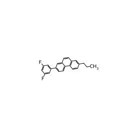 CCCc1ccc2c(ccc3cc(-c4cc(F)cc(F)c4)ccc32)c1